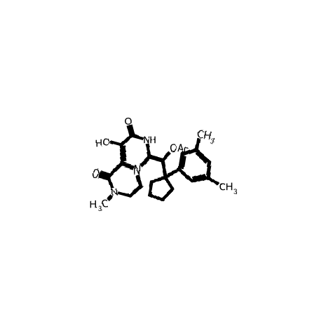 CC(=O)OC(C1NC(=O)C(O)=C2C(=O)N(C)CCN21)C1(c2cc(C)cc(C)c2)CCCC1